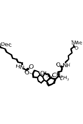 CCCCCCCCCCCCCCCCCCNC(=O)O[C@@H]1CC[C@@]2(C)C(CCC3C4CCC(C(C)CCC(=O)NCCCCCC(=O)NC)[C@@]4(C)CCC32)C1